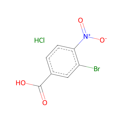 Cl.O=C(O)c1ccc([N+](=O)[O-])c(Br)c1